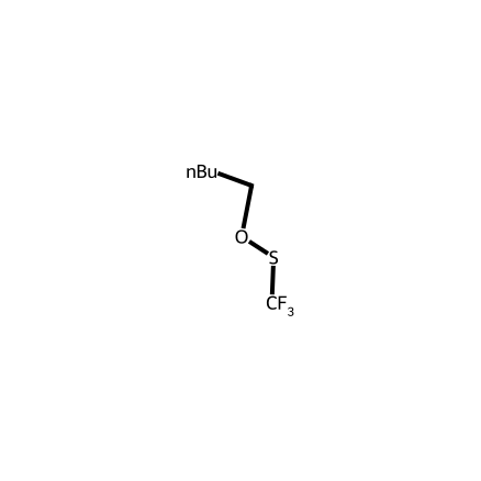 CCCCCOSC(F)(F)F